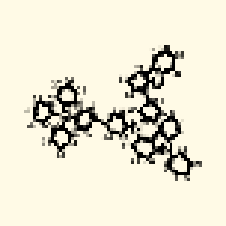 c1ccc(-n2c3ccccc3c3c(N(c4ccc(-c5ccc([Si](c6ccccc6)(c6ccccc6)c6ccccc6)cc5)cc4)c4cccc(-c5cccc6c5oc5ccccc56)c4)cccc32)cc1